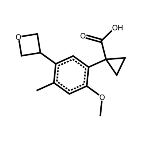 COc1cc(C)c(C2COC2)cc1C1(C(=O)O)CC1